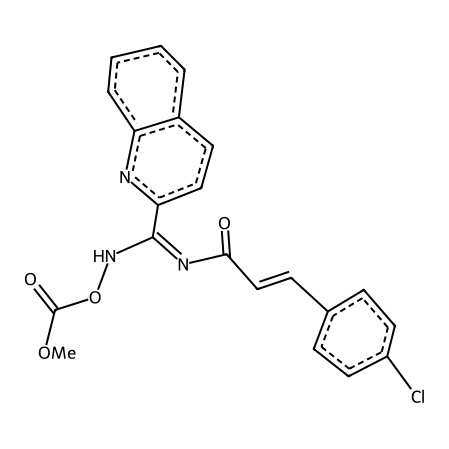 COC(=O)ON/C(=N/C(=O)C=Cc1ccc(Cl)cc1)c1ccc2ccccc2n1